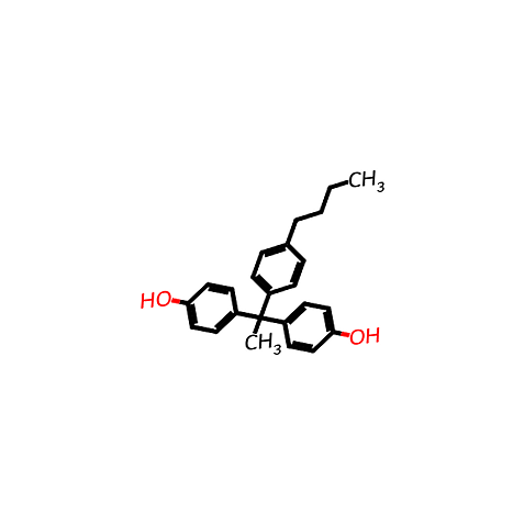 CCCCc1ccc(C(C)(c2ccc(O)cc2)c2ccc(O)cc2)cc1